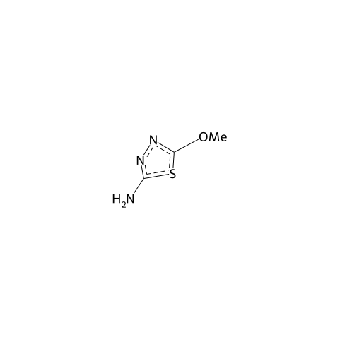 COc1nnc(N)s1